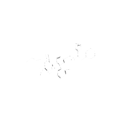 COC(=O)[C@H](CCSC)NC(=O)c1ccc(COC(CC2CCCCC2)c2cncs2)cc1-c1ccccc1C